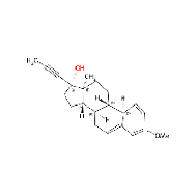 CC#C[C@]1(O)CC[C@H]2[C@@H]3CC=C4C=C(OC)C=C[C@@H]4[C@H]3CC[C@@]21C